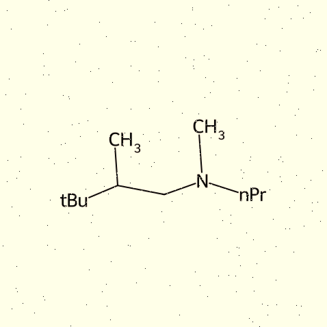 CCCN(C)CC(C)C(C)(C)C